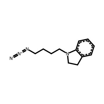 [N-]=[N+]=NCCCCN1CCc2ccccc21